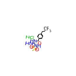 CS(=O)(=O)NC(=N)NC(=O)c1ccc(CCC(F)(F)F)cc1.Cl